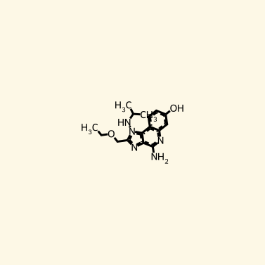 CCOCc1nc2c(N)nc3cc(O)ccc3c2n1NC(C)C